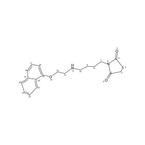 O=C1CSC(=O)N1CCCCNCCOc1cccc2ccccc12